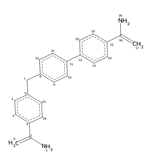 C=C(N)c1ccc(Cc2ccc(-c3ccc(C(=C)N)cc3)cc2)cc1